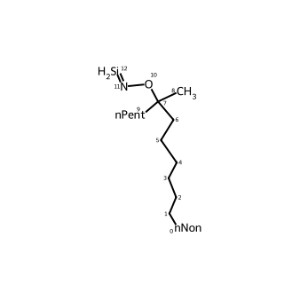 CCCCCCCCCCCCCCCC(C)(CCCCC)ON=[SiH2]